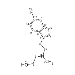 CN(CCO)CCn1ccc2cc(F)ccc21